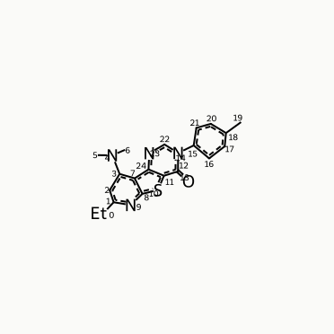 CCc1cc(N(C)C)c2c(n1)sc1c(=O)n(-c3ccc(C)cc3)cnc12